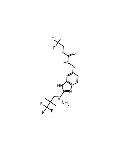 C[C@@H](NC(=O)CCC(F)(F)F)c1ccc2nc([C@H](N)CC(C)(C)C(F)(F)F)[nH]c2c1